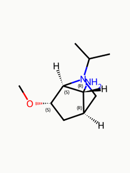 CO[C@H]1C[C@@H]2CN(C(C)C)[C@H]1[C@@H]2N